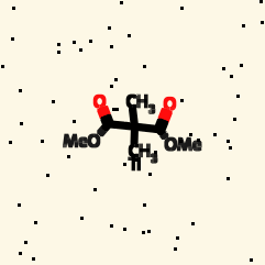 COC(=O)C(C)(C)C(=O)OC.[Ti]